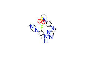 Cc1cc(N2CCN(C)CC2)c(F)cc1Nc1ncc2ccn(-c3ccc(N4CCCCS4(=O)=O)cc3)c2n1